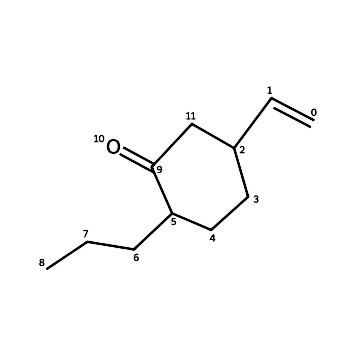 C=CC1CCC(CCC)C(=O)C1